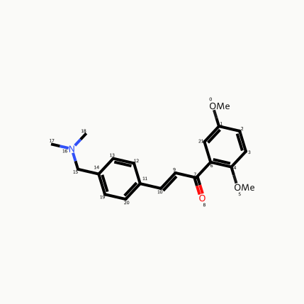 COc1ccc(OC)c(C(=O)C=Cc2ccc(CN(C)C)cc2)c1